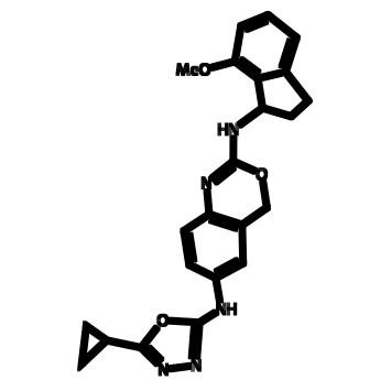 COc1cccc2c1C(NC1=Nc3ccc(Nc4nnc(C5CC5)o4)cc3CO1)CC2